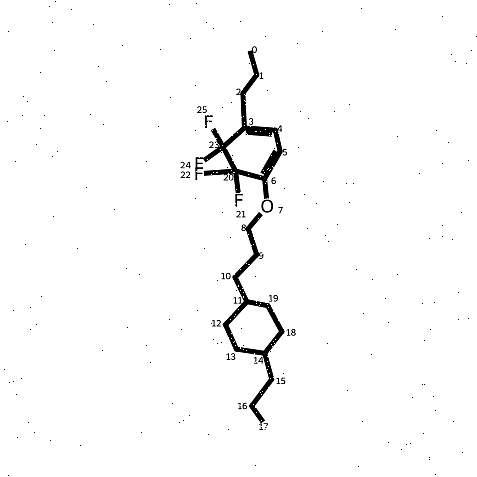 CCCC1=CC=C(OCCCC2CCC(CCC)CC2)C(F)(F)C1(F)F